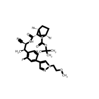 COCCn1cc(-c2ccc([C@@H](C)[C@@H](C#N)NC(=O)[C@@H]3[C@H]4CC[C@H](C4)N3C(=O)OC(C)(C)C)c(F)c2)cn1